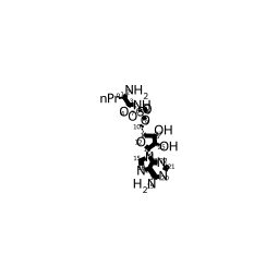 CCC[C@@H](N)C(=O)NS(=O)(=O)OC[C@H]1O[C@@H](n2cnc3c(N)ncnc32)[C@H](O)[C@@H]1O